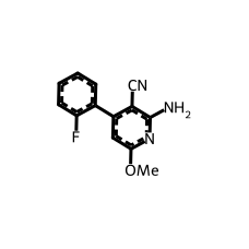 COc1cc(-c2ccccc2F)c(C#N)c(N)n1